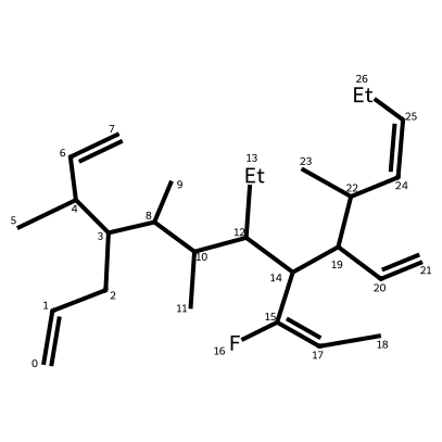 C=CCC(C(C)C=C)C(C)C(C)C(CC)C(/C(F)=C\C)C(C=C)C(C)/C=C\CC